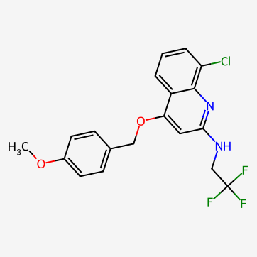 COc1ccc(COc2cc(NCC(F)(F)F)nc3c(Cl)cccc23)cc1